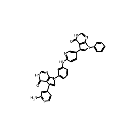 Nc1cc(-c2cn(-c3cccc(Nc4ccc(-c5cn(-c6ccccc6)c6nc[nH]c(=O)c56)cn4)c3)c3nc[nH]c(=O)c23)ccn1